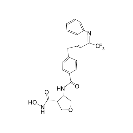 O=C(N[C@@H]1COC[C@@H]1C(=O)NO)c1ccc(Cc2cc(C(F)(F)F)nc3ccccc23)cc1